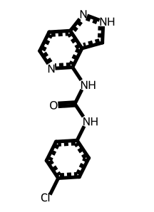 O=C(Nc1ccc(Cl)cc1)Nc1nccc2n[nH]cc12